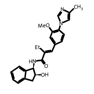 CC/C(=C\c1ccc(-n2cnc(C)c2)c(OC)c1)C(=O)N[C@@H]1c2ccccc2C[C@@H]1O